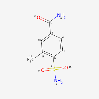 NC(=O)c1ccc(S(N)(=O)=O)c(C(F)(F)F)c1